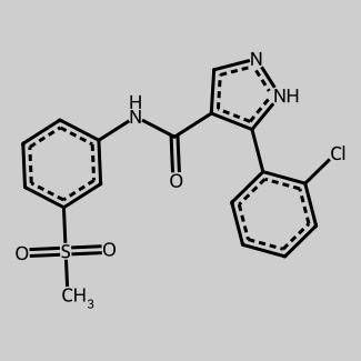 CS(=O)(=O)c1cccc(NC(=O)c2cn[nH]c2-c2ccccc2Cl)c1